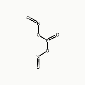 O=NO[PH](=O)ON=O